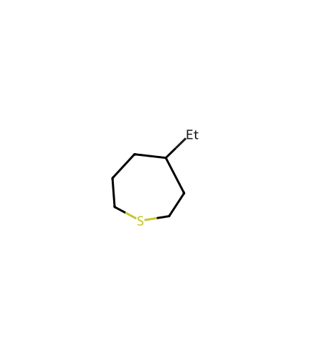 CCC1CCCSCC1